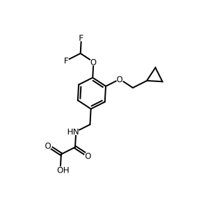 O=C(O)C(=O)NCc1ccc(OC(F)F)c(OCC2CC2)c1